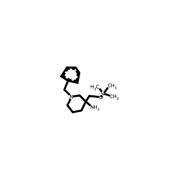 C[Si](C)(C)OCC1(N)CCCN(Cc2ccccc2)C1